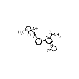 C=C1N(C)CC[C@@]1(O)C#Cc1cccc(-c2cc(N3CCCC3=O)cc(C(N)=O)n2)c1